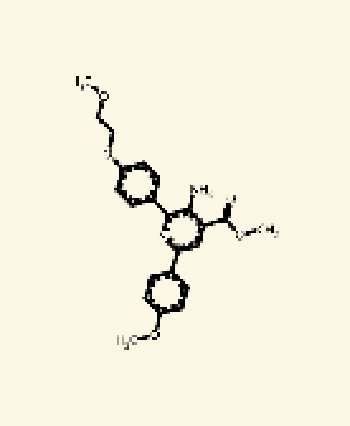 COCCOc1ccc(-c2nc(-c3ccc(OC)cc3)cc(C(=O)OC)c2N)cc1